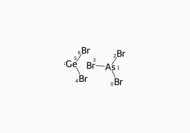 Br[As](Br)Br.[Br][Ge][Br]